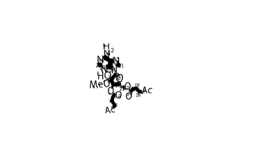 CO[C@@]1(O)[C@H](OC(=O)CCC(C)=O)[C@@H](COC(=O)CCC(C)=O)O[C@H]1n1cnc2c(N)ncnc21